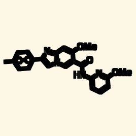 COc1cccc(NC(=O)c2cn3cc(C45CCC(C)(CC4)OC5)nc3cc2OC)n1